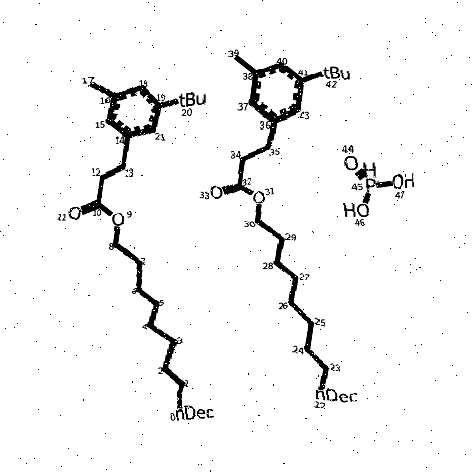 CCCCCCCCCCCCCCCCCCOC(=O)CCc1cc(C)cc(C(C)(C)C)c1.CCCCCCCCCCCCCCCCCCOC(=O)CCc1cc(C)cc(C(C)(C)C)c1.O=[PH](O)O